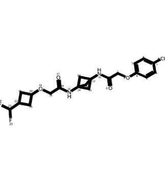 O=C(COc1ccc(Cl)cc1)NC12CC(NC(=O)COC3CC(C(F)F)C3)(C1)C2